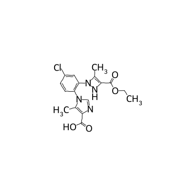 CCOC(=O)c1[nH]n(-c2cc(Cl)ccc2-n2cnc(C(=O)O)c2C)c1C